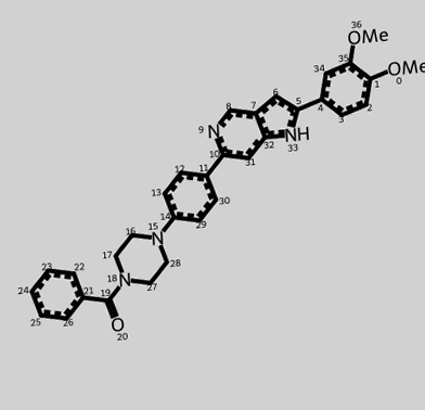 COc1ccc(-c2cc3cnc(-c4ccc(N5CCN(C(=O)c6ccccc6)CC5)cc4)cc3[nH]2)cc1OC